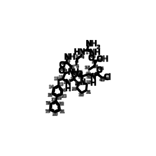 N=C(N)NCCC[C@H](NC(=O)C(Cc1ccc(-c2ccccc2)cc1)NC(=O)[C@@H]1CCCCN1C(=O)[C@H](CCC(=O)O)NC(=O)CCl)C(N)=O